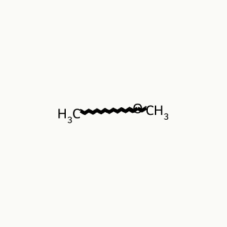 CCCCCCCCCCCCCC=COCCC